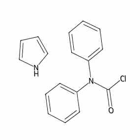 O=C(Cl)N(c1ccccc1)c1ccccc1.c1cc[nH]c1